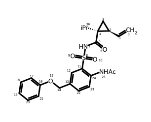 C=C[C@@H]1C[C@@]1(C(=O)NS(=O)(=O)c1cc(COc2ccccc2)ccc1NC(C)=O)C(C)C